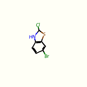 ClC1Nc2ccc(Br)cc2S1